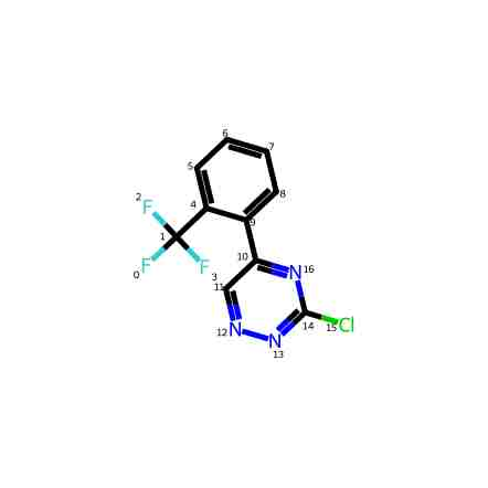 FC(F)(F)c1ccccc1-c1cnnc(Cl)n1